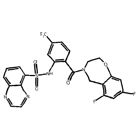 O=C(c1ccc(C(F)(F)F)cc1NS(=O)(=O)c1cccc2nccnc12)N1CCOc2cc(F)cc(F)c2C1